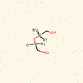 CC[Si](CC)(CO)O[Si](CC)(CC)CO